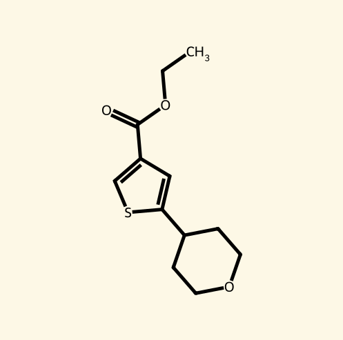 CCOC(=O)c1csc(C2CCOCC2)c1